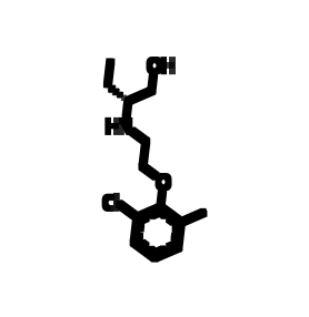 CC[C@H](CO)NCCOc1c(C)cccc1Cl